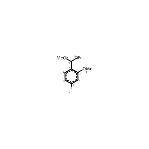 COc1cc(F)ccc1C(OC)C(C)C